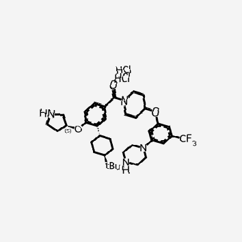 CC(C)(C)[C@H]1CC[C@H](c2cc(C(=O)N3CCC(Oc4cc(N5CCNCC5)cc(C(F)(F)F)c4)CC3)ccc2O[C@H]2CCNC2)CC1.Cl.Cl